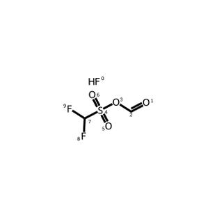 F.O=COS(=O)(=O)C(F)F